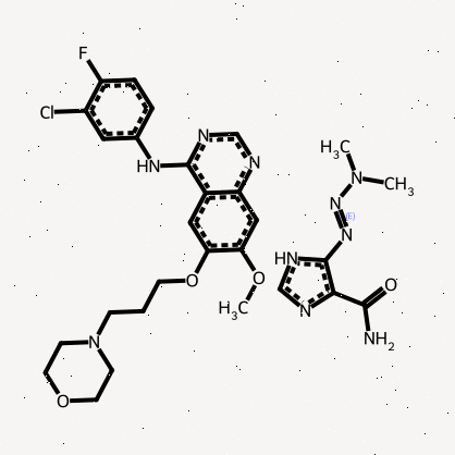 CN(C)/N=N/c1[nH]cnc1C(N)=O.COc1cc2ncnc(Nc3ccc(F)c(Cl)c3)c2cc1OCCCN1CCOCC1